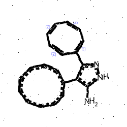 Nc1[nH]nc(C2=C/C=C\C=C/C=C\2)c1-c1ccccccccc1